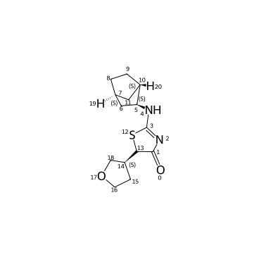 O=C1N=C(N[C@H]2C[C@H]3CC[C@H]2C3)SC1[C@H]1CCOC1